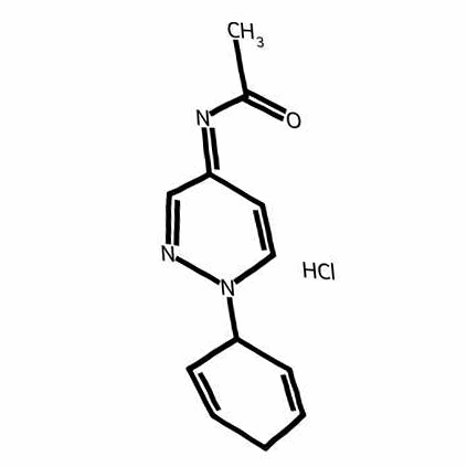 CC(=O)N=c1ccn(C2C=CCC=C2)nc1.Cl